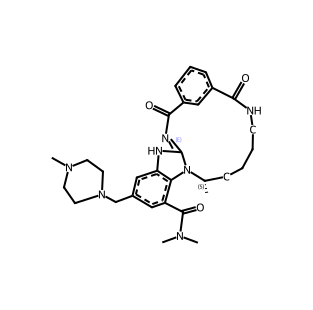 C[C@H]1CCCCNC(=O)c2cccc(c2)C(=O)/N=C2\Nc3cc(CN4CCN(C)CC4)cc(C(=O)N(C)C)c3N21